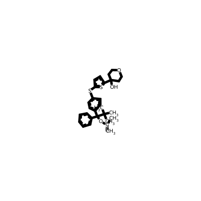 C[SiH](C)OC(c1ccccc1)(c1ccc(Sc2ccc(C3(O)CCOCC3)s2)cc1)C(C)(C)C